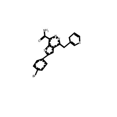 NC(=O)c1nnc(CC2=CSC=CC2)c2cc(-c3ccc(Br)cc3)sc12